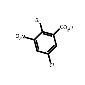 O=C(O)c1cc(Cl)cc([N+](=O)[O-])c1Br